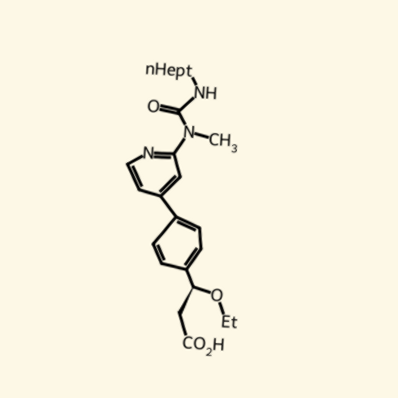 CCCCCCCNC(=O)N(C)c1cc(-c2ccc([C@H](CC(=O)O)OCC)cc2)ccn1